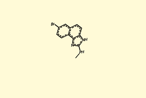 CPc1nc2c(ccc3cc(Br)ccc32)[nH]1